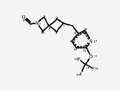 O=CN1CC2(CC(Cc3ccc(OC(F)(F)F)nc3)C2)C1